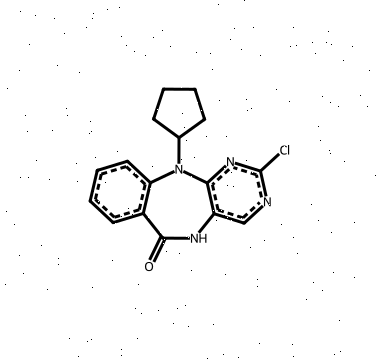 O=C1Nc2cnc(Cl)nc2N(C2CCCC2)c2ccccc21